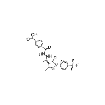 CC1=NN(c2ccc(C(F)(F)F)cn2)C(=O)/C1=C(/C)NNC(=O)c1ccc(C(=O)O)cc1